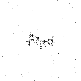 CNc1cc(C)nc(Nc2ccc(Cl)c(C(=O)Nc3nccc(C)n3)c2)n1